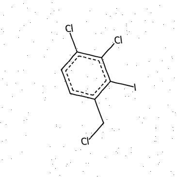 ClCc1ccc(Cl)c(Cl)c1I